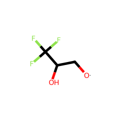 [O]CC(O)C(F)(F)F